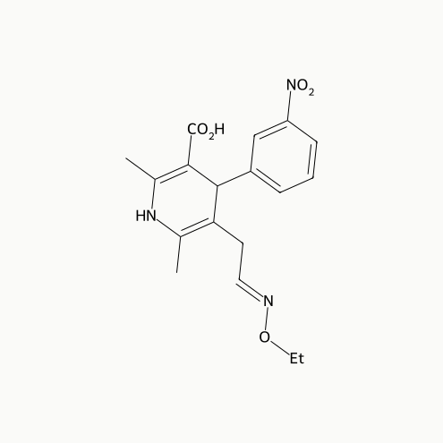 CCON=CCC1=C(C)NC(C)=C(C(=O)O)C1c1cccc([N+](=O)[O-])c1